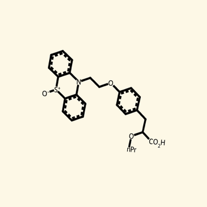 CCCOC(Cc1ccc(OCCN2c3ccccc3[S+]([O-])c3ccccc32)cc1)C(=O)O